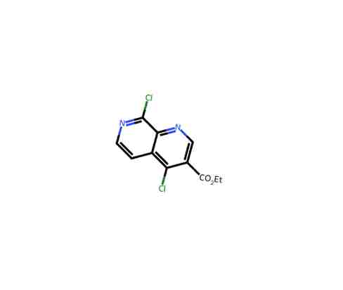 CCOC(=O)c1cnc2c(Cl)nccc2c1Cl